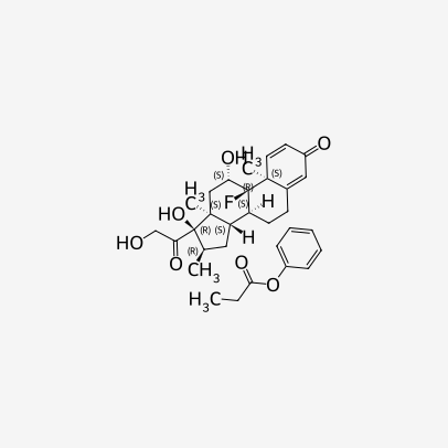 CCC(=O)Oc1ccccc1.C[C@@H]1C[C@H]2[C@@H]3CCC4=CC(=O)C=C[C@]4(C)[C@@]3(F)[C@@H](O)C[C@]2(C)[C@@]1(O)C(=O)CO